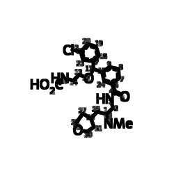 CN[C@H](CNC(=O)c1cccc(C(OCCNC(=O)O)c2cccc(Cl)c2)c1)CC1CCOCC1